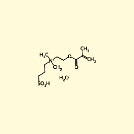 C=C(C)C(=O)OCC[N+](C)(C)CCCS(=O)(=O)O.O